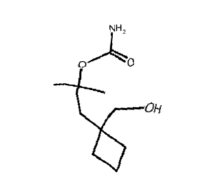 CC(C)(CC1(CO)CCC1)OC(N)=O